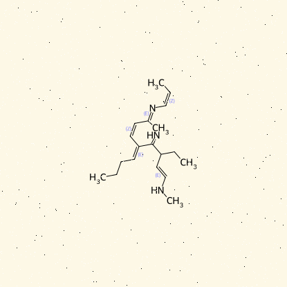 C\C=C/N=C(C)/C=C\C(=C/CCC)C(=N)C(/C=C/NC)CC